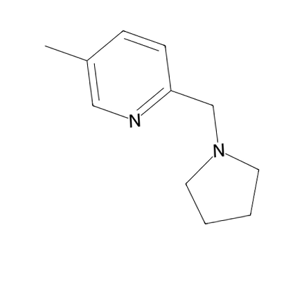 Cc1ccc(CN2CCCC2)nc1